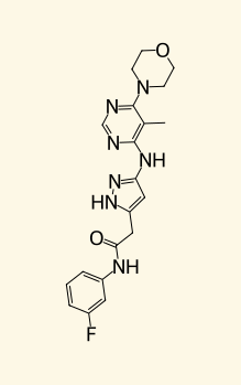 Cc1c(Nc2cc(CC(=O)Nc3cccc(F)c3)[nH]n2)ncnc1N1CCOCC1